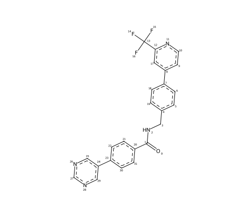 O=C(NCc1ccc(-c2ccnc(C(F)(F)F)c2)cc1)c1ccc(-c2cncnc2)cc1